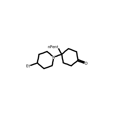 CCCCCC1(N2CCC(CC)CC2)CCC(=O)CC1